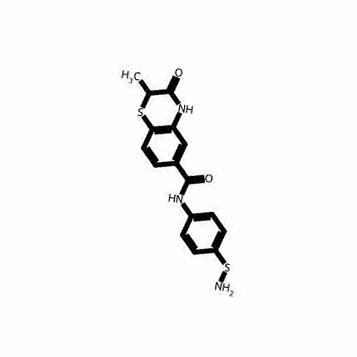 CC1Sc2ccc(C(=O)Nc3ccc(SN)cc3)cc2NC1=O